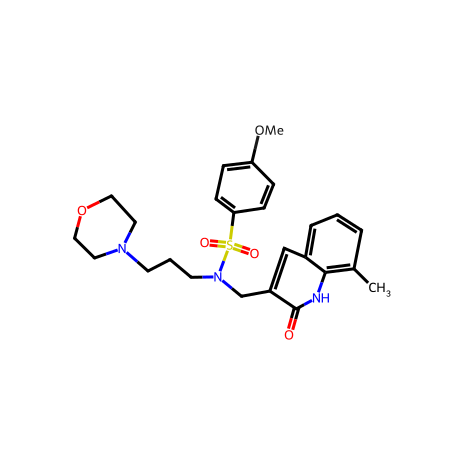 COc1ccc(S(=O)(=O)N(CCCN2CCOCC2)Cc2cc3cccc(C)c3[nH]c2=O)cc1